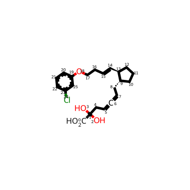 O=C(O)C(O)(O)CC=C=CC[C@H]1CCC[C@@H]1/C=C/CCOc1cccc(Cl)c1